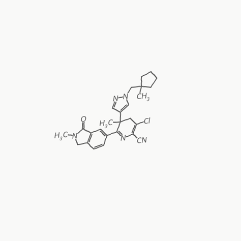 CN1Cc2ccc(C3=NC(C#N)=C(Cl)CC3(C)c3cnn(CC4(C)CCCC4)c3)cc2C1=O